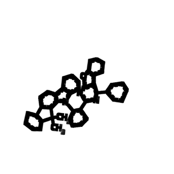 CC1(C)c2ccccc2-c2ccc3c4ccccc4n(-c4ccccc4-c4nc(-c5ccccc5)c5c(n4)oc4ccccc45)c3c21